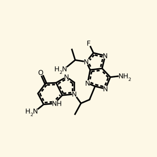 CC(Cc1nc(N)c2nc(F)n(C(C)N)c2n1)n1cnc2c(=O)cc(N)[nH]c21